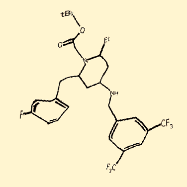 CCC1CC(NCc2cc(C(F)(F)F)cc(C(F)(F)F)c2)CC(Cc2cccc(F)c2)N1C(=O)OC(C)(C)C